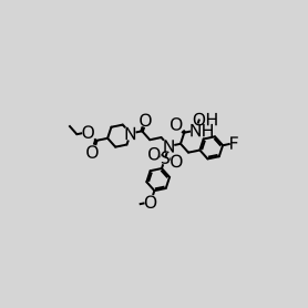 CCOC(=O)C1CCN(C(=O)CCN(C(Cc2ccc(F)cc2)C(=O)NO)S(=O)(=O)c2ccc(OC)cc2)CC1